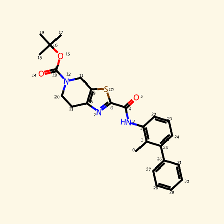 Cc1c(NC(=O)c2nc3c(s2)CN(C(=O)OC(C)(C)C)CC3)cccc1-c1ccccc1